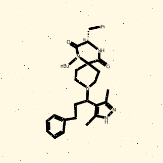 CCCCN1C(=O)[C@H](CC(C)C)NC(=O)C12CCN(C(CCc1ccccc1)c1c(C)n[nH]c1C)CC2